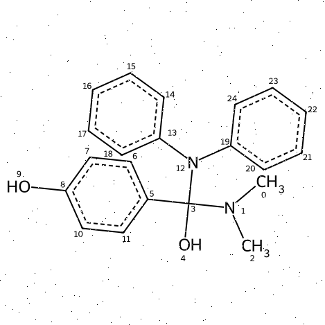 CN(C)C(O)(c1ccc(O)cc1)N(c1ccccc1)c1ccccc1